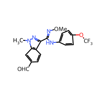 CO/N=C(\Nc1ccc(OC(F)(F)F)cc1)c1nn(C)c2cc(C=O)ccc12